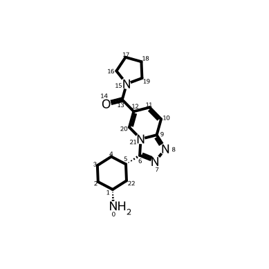 N[C@@H]1CCC[C@H](c2nnc3ccc(C(=O)N4CCCC4)cn23)C1